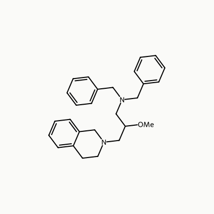 COC(CN(Cc1ccccc1)Cc1ccccc1)CN1CCc2ccccc2C1